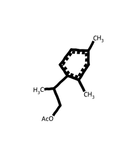 CC(=O)OCC(C)c1ccc(C)cc1C